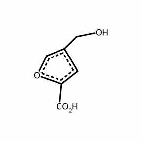 O=C(O)c1cc(CO)co1